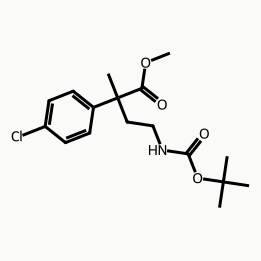 COC(=O)C(C)(CCNC(=O)OC(C)(C)C)c1ccc(Cl)cc1